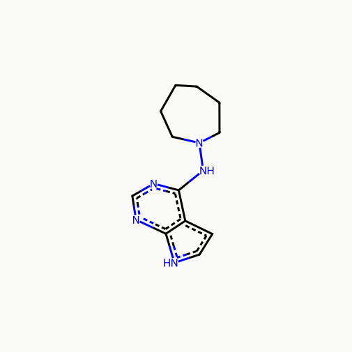 c1nc(NN2CCCCCC2)c2cc[nH]c2n1